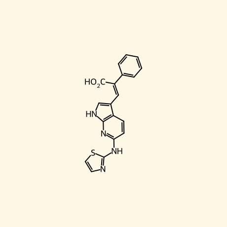 O=C(O)/C(=C\c1c[nH]c2nc(Nc3nccs3)ccc12)c1ccccc1